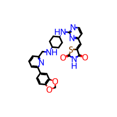 O=C1NC(=O)C(=Cc2ccnc(N[C@H]3CC[C@H](NCc4cccc(-c5ccc6c(c5)OCO6)n4)CC3)n2)S1